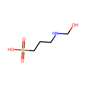 O=S(=O)(O)CCCNCO